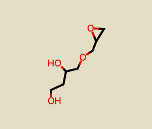 OCCC(O)COCC1CO1